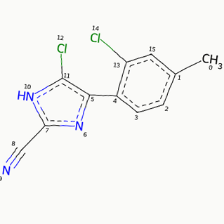 Cc1ccc(-c2nc(C#N)[nH]c2Cl)c(Cl)c1